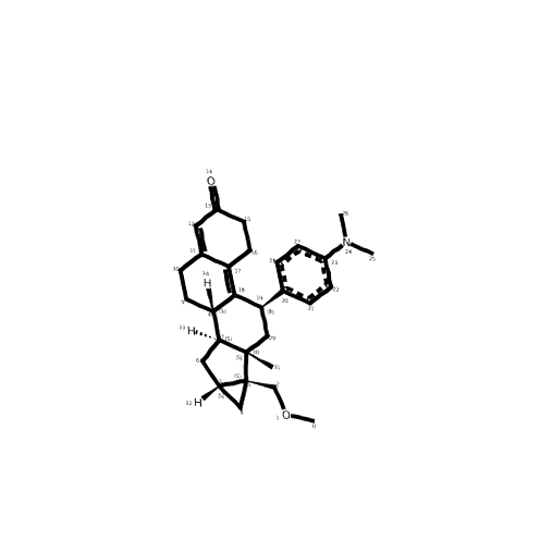 COC[C@@]12C[C@@H]1C[C@H]1[C@@H]3CCC4=CC(=O)CCC4=C3[C@@H](c3ccc(N(C)C)cc3)C[C@@]12C